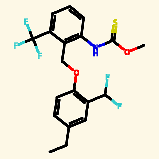 CCc1ccc(OCc2c(NC(=S)OC)cccc2C(F)(F)F)c(C(F)F)c1